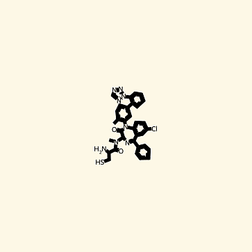 Cc1ccc(-c2ccccc2-n2ncnn2)cc1N1C(=O)C(N(C)C(=O)C(N)CS)N=C(c2ccccc2)c2cc(Cl)ccc21